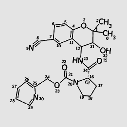 CC1(C)Oc2ccc(C#N)cc2C(NC(=O)[C@@H]2CCCN2C(=O)OCc2ccccn2)C1O